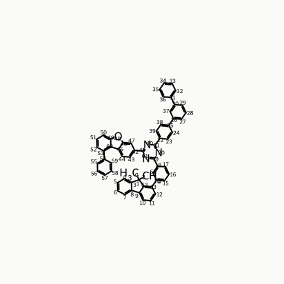 CC1(C)c2ccccc2-c2cccc(-c3cccc(-c4nc(-c5ccc(-c6cccc(-c7ccccc7)c6)cc5)nc(-c5ccc6c(c5)oc5cccc(-c7ccccc7)c56)n4)c3)c21